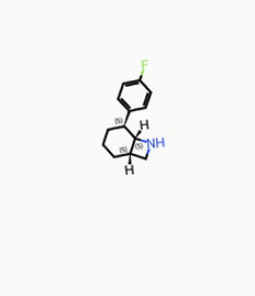 Fc1ccc([C@@H]2CCC[C@H]3CN[C@H]32)cc1